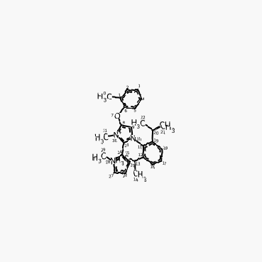 Cc1ccccc1Oc1cn(-c2c(C(C)C)cccc2C(C)C)c(-c2cccn2C)[n+]1C